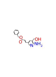 Nc1ncc(C=CC(=O)OCc2ccccc2)cc1CO